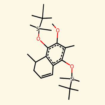 COc1c(C)c(O[Si](C)(C)C(C)(C)C)c2c(c1O[Si](C)(C)C(C)(C)C)C(C)CC=C2